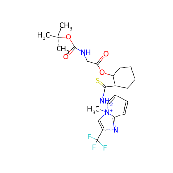 CC(C)(C)OC(=O)NCC(=O)OC1CCCCC1(C(N)=S)C1=C[N+]2(C)C=C(C(F)(F)F)N=C2C=C1